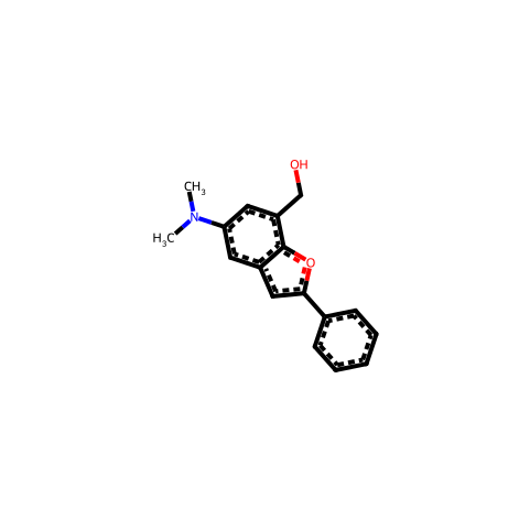 CN(C)c1cc(CO)c2oc(-c3ccccc3)cc2c1